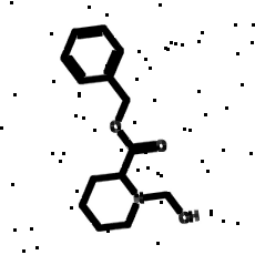 O=C(OCc1ccccc1)C1CCCCN1CO